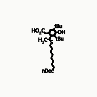 CCCCCCCCCCCCCCCCCCSC(C)c1c(CC(=O)O)cc(C(C)(C)C)c(O)c1C(C)(C)C